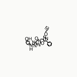 Cn1c(N[C@H]2CC[C@@H](O)C2)nc2c1c(=O)n(Cc1cc(-c3ccccc3)nn1COCC[Si](C)(C)C)c(=O)n2C